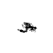 CNC(=O)c1c(-c2ccc(F)cc2)oc2cc(N(C)S(C)(=O)=O)c(C3CCCN(C(=O)c4coc(-c5ccc(F)cc5)n4)C3)cc12